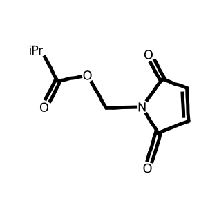 CC(C)C(=O)OCN1C(=O)C=CC1=O